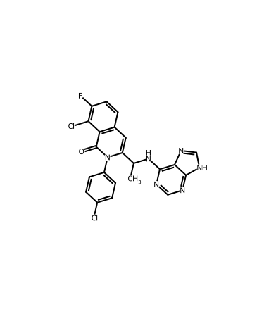 CC(Nc1ncnc2[nH]cnc12)c1cc2ccc(F)c(Cl)c2c(=O)n1-c1ccc(Cl)cc1